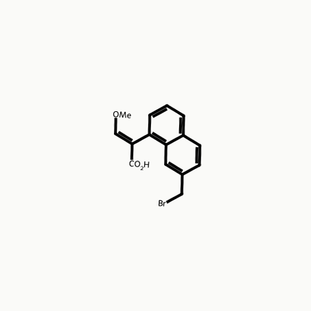 CO/C=C(/C(=O)O)c1cccc2ccc(CBr)cc12